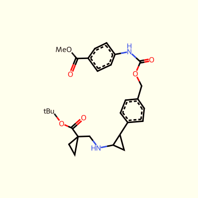 COC(=O)c1ccc(NC(=O)OCc2ccc(C3CC3NCC3(C(=O)OC(C)(C)C)CC3)cc2)cc1